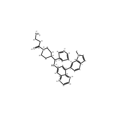 Cn1ccc2ccc(-c3cc(NC(c4cccnc4)C4CCN(C(=O)CCN)CC4)cc4nccnc34)cc21